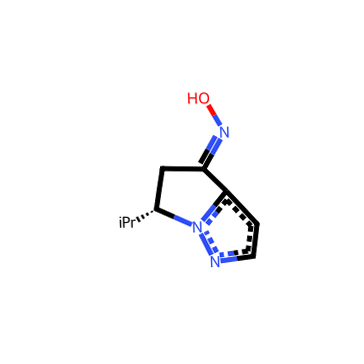 CC(C)[C@@H]1C/C(=N\O)c2ccnn21